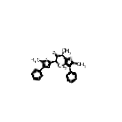 Cc1sc(C(C)C(=O)C(C)c2cc(-c3ccccc3)c(C)s2)cc1-c1ccccc1